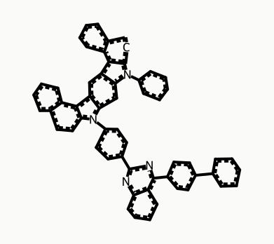 c1ccc(-c2ccc(-c3nc(-c4ccc(-n5c6cc7c(cc6c6c8ccccc8ccc65)c5c6ccccc6ccc5n7-c5ccccc5)cc4)nc4ccccc34)cc2)cc1